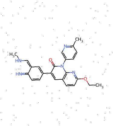 CCOc1ccc2cc(C3=C/C(=C/NC)C(=N)C=C3)c(=O)n(-c3ccc(C)nc3)c2n1